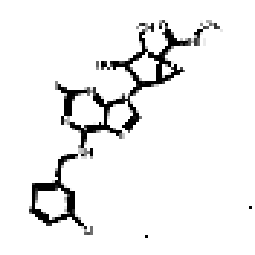 CNC(=O)C12CC1C(n1cnc3c(NCc4cccc(Cl)c4)nc(I)nc31)C(O)C2O